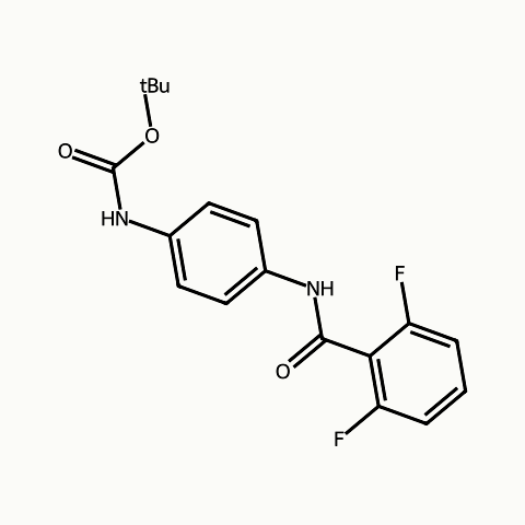 CC(C)(C)OC(=O)Nc1ccc(NC(=O)c2c(F)cccc2F)cc1